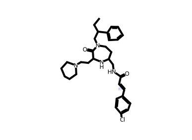 CCC(CN1CCC(CNC(=O)/C=C/c2ccc(Cl)cc2)NC(CCN2CCCCC2)C1=O)c1ccccc1